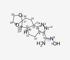 Cn1nc2c(c1/C(N)=N/O)CC[C@@H]1C2(C)CCC2(OCCO2)C1(C)C